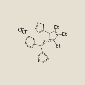 CCC1=C(CC)C(C2=CC=CC2)[C]([Zr+2]=[C](c2ccccc2)c2ccccc2)=C1CC.[Cl-].[Cl-]